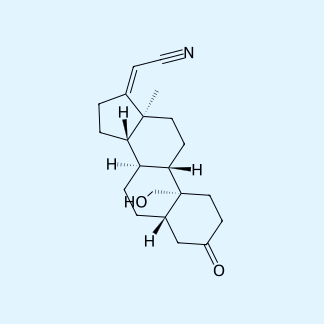 C[C@]12CC[C@H]3[C@@H](CC[C@H]4CC(=O)CC[C@@]43CO)[C@@H]1CC/C2=C/C#N